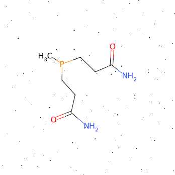 CP(CCC(N)=O)CCC(N)=O